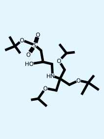 CC(C)OCC(COC(C)C)(COC(C)(C)C)NCC(O)CS(=O)(=O)OC(C)(C)C